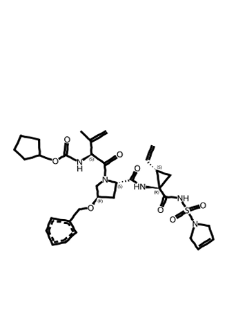 C=C[C@@H]1C[C@]1(NC(=O)[C@@H]1C[C@@H](OCc2ccccc2)CN1C(=O)[C@@H](NC(=O)OC1CCCC1)C(=C)C)C(=O)NS(=O)(=O)N1CC=CC1